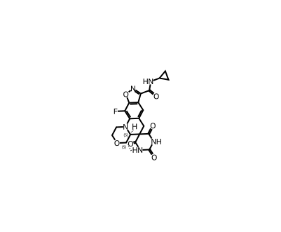 C[C@@H]1OCCN2c3c(cc4c(C(=O)NC5CC5)noc4c3F)CC3(C(=O)NC(=O)NC3=O)[C@@H]12